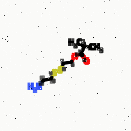 CC(C)C(=O)OCCSSCCN